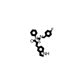 O=C1/C(=C/c2ccc3[nH]ccc3c2)S/C(=N\Cc2ccc(F)cc2)N1c1ccccc1